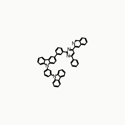 c1ccc(-c2cc(-c3cc4ccccc4cn3)nc(-c3cccc(-c4ccc5c(c4)c4ccccc4n5-c4cccc(-n5c6ccccc6c6ccccc65)c4)c3)n2)cc1